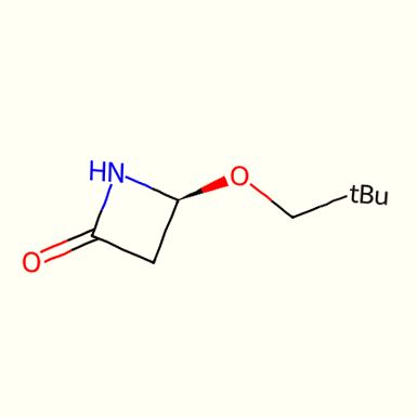 CC(C)(C)CO[C@H]1CC(=O)N1